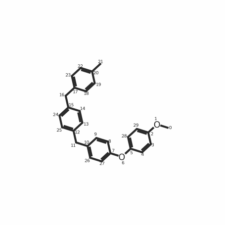 COc1ccc(Oc2ccc(Cc3ccc(Cc4ccc(C)cc4)cc3)cc2)cc1